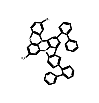 Cc1cc2c3c(c1)-n1c4ccc(-c5ccccc5-c5ccccc5)cc4c4cc(-c5ccccc5-c5ccccc5)cc(c41)B3c1cc(C(C)(C)C)ccc1O2